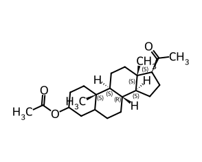 CC(=O)OC1CC[C@@]2(C)C(CC[C@H]3[C@@H]4CC[C@H](C(C)=O)[C@@]4(C)CC[C@@H]32)C1